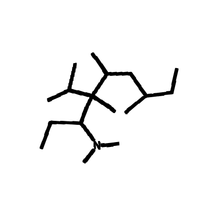 CCC(C)CC(C)C(C)(C(C)C)C(CC)N(C)C